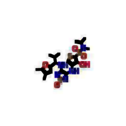 C=C(C)N(C)S(=O)(=O)c1scc(Nc2n[s+]([O-])nc2N[C@@H](c2cc(C)c(C)o2)C(C)C)c1O